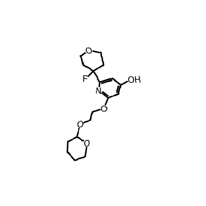 Oc1cc(OCCOC2CCCCO2)nc(C2(F)CCOCC2)c1